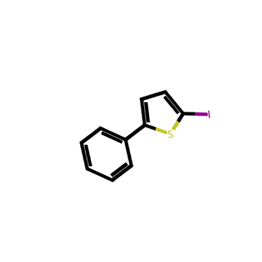 Ic1ccc(-c2ccccc2)s1